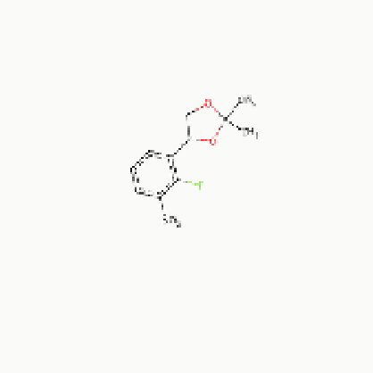 CC1(C)OCC(c2cccc([N+](=O)[O-])c2F)O1